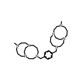 CN1CCCN2CCN(CCCN(Cc3ccc(CN4CCCN5CCN(C)CCCN(CC5)CC4)cc3)CC2)CC1